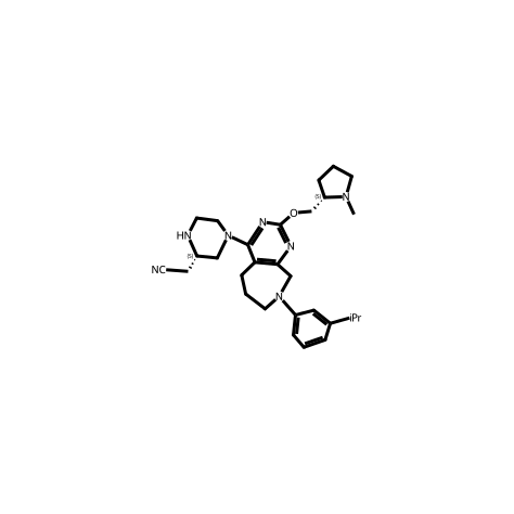 CC(C)c1cccc(N2CCCc3c(nc(OC[C@@H]4CCCN4C)nc3N3CCN[C@@H](CC#N)C3)C2)c1